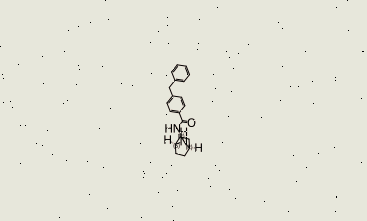 O=C(N[C@@H]1C[C@H]2CC[C@@H]1N2)c1ccc(Cc2ccccc2)cc1